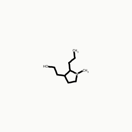 CCCC1C(CCO)CCN1C